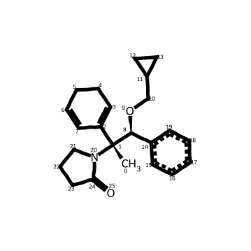 C[C@@](C1=CCCC=C1)([C@@H](OCC1CC1)c1ccccc1)N1CCCC1=O